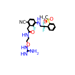 CS(=O)(=O)c1ccccc1C(F)(F)CNc1ccc(C#N)c(CC(=O)NCCONC(=N)N)c1F